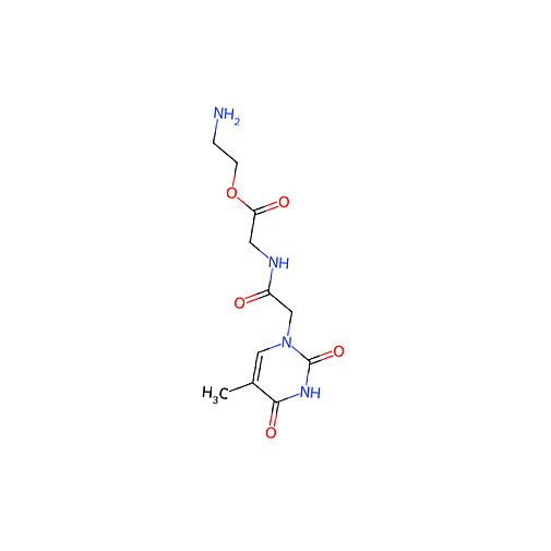 Cc1cn(CC(=O)NCC(=O)OCCN)c(=O)[nH]c1=O